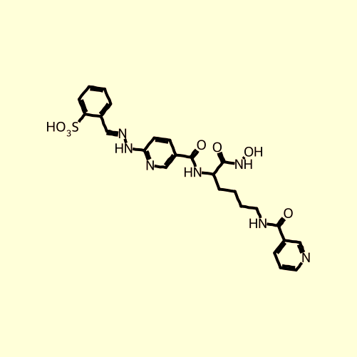 O=C(NCCCCC(NC(=O)c1ccc(NN=Cc2ccccc2S(=O)(=O)O)nc1)C(=O)NO)c1cccnc1